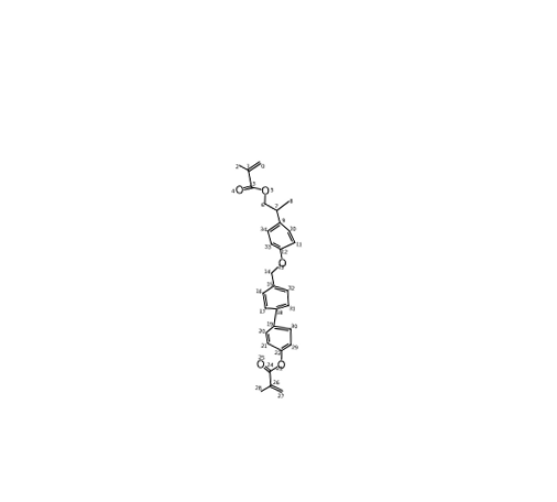 C=C(C)C(=O)OCC(C)c1ccc(OCc2ccc(-c3ccc(OC(=O)C(=C)C)cc3)cc2)cc1